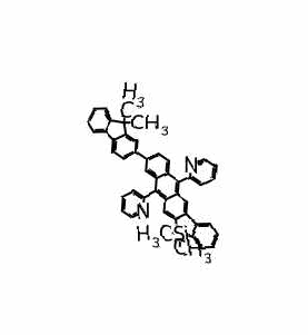 CC1(C)c2ccccc2-c2ccc(-c3ccc4c(-c5ccccn5)c5cc6c(cc5c(-c5ccccn5)c4c3)[Si](C)(C)c3ccccc3-6)cc21